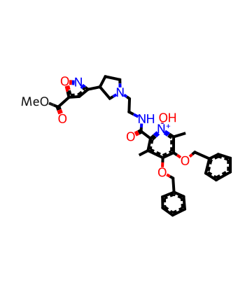 COC(=O)c1cc(C2CCN(CCNC(=O)c3c(C)c(OCc4ccccc4)c(OCc4ccccc4)c(C)[n+]3O)C2)no1